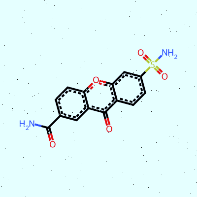 NC(=O)c1ccc2oc3cc(S(N)(=O)=O)ccc3c(=O)c2c1